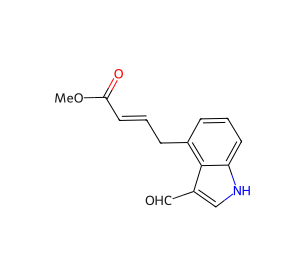 COC(=O)C=CCc1cccc2[nH]cc(C=O)c12